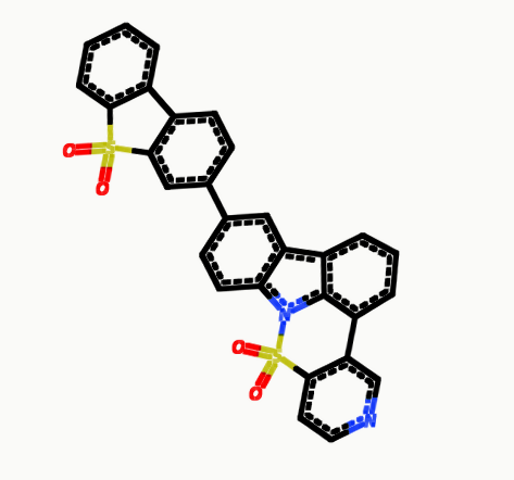 O=S1(=O)c2ccccc2-c2ccc(-c3ccc4c(c3)c3cccc5c3n4S(=O)(=O)c3ccncc3-5)cc21